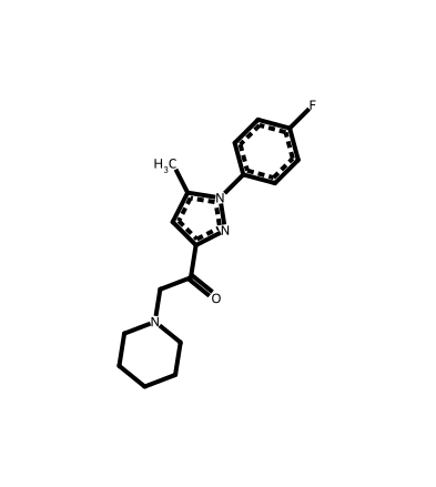 Cc1cc(C(=O)CN2CCCCC2)nn1-c1ccc(F)cc1